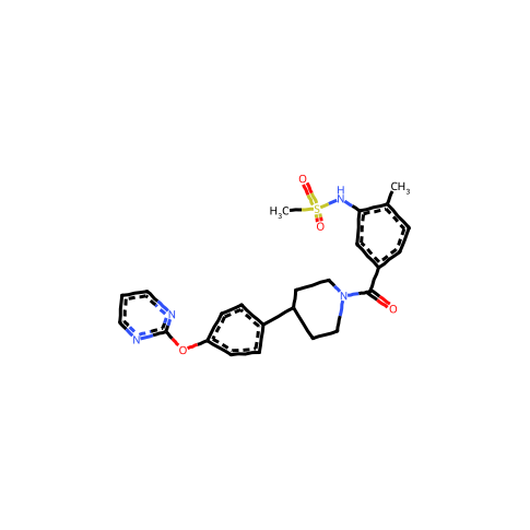 Cc1ccc(C(=O)N2CCC(c3ccc(Oc4ncccn4)cc3)CC2)cc1NS(C)(=O)=O